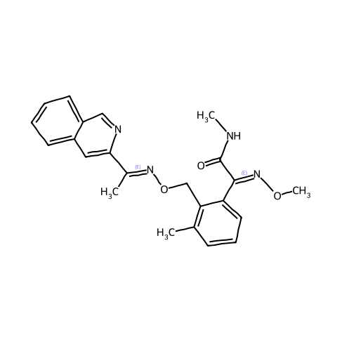 CNC(=O)/C(=N/OC)c1cccc(C)c1CO/N=C(\C)c1cc2ccccc2cn1